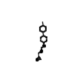 CC1CCC(C2CCC(OCOCC3CO3)CC2)CC1